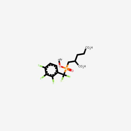 CCCOP(=O)(CC(CCC(=O)O)C(=O)O)C(F)(F)c1ccc(F)c(F)c1F